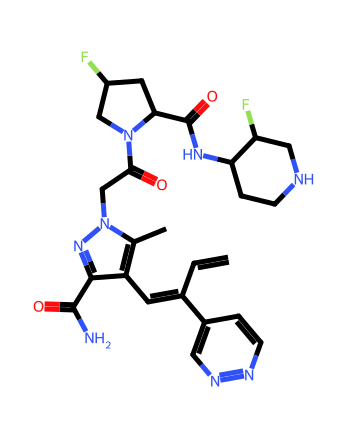 C=C/C(=C\c1c(C(N)=O)nn(CC(=O)N2CC(F)CC2C(=O)NC2CCNCC2F)c1C)c1ccnnc1